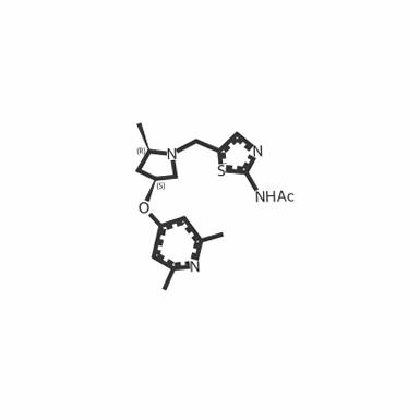 CC(=O)Nc1ncc(CN2C[C@@H](Oc3cc(C)nc(C)c3)C[C@H]2C)s1